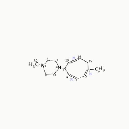 C/C1=C/C=C\C(N2CCN(C)CC2)/C=C\C1